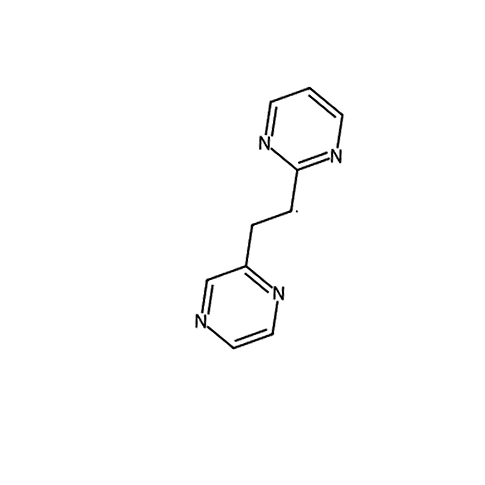 [CH](Cc1cnccn1)c1ncccn1